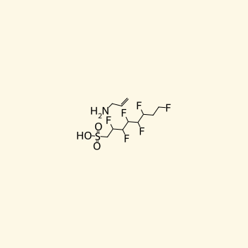 C=CCN.O=S(=O)(O)CC(F)C(F)C(F)C(F)C(F)CCF